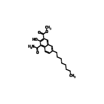 CCCCCCCCc1ccc2c(C(N)=O)c(O)c(C(=O)OC)cc2c1